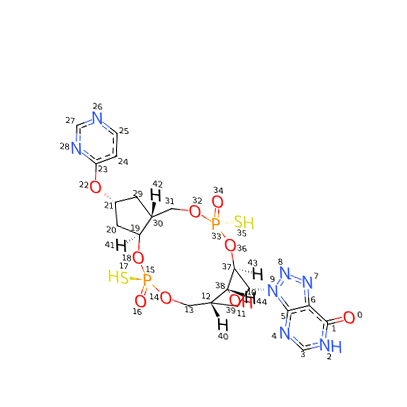 O=c1[nH]cnc2c1nnn2[C@@H]1C[C@@H]2CO[P@@](=O)(S)O[C@H]3C[C@H](Oc4ccncn4)C[C@@H]3CO[P@](=O)(S)O[C@@H]1[C@@H]2O